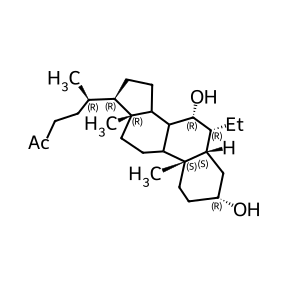 CC[C@H]1[C@@H](O)C2C3CC[C@H]([C@H](C)CCC(C)=O)[C@@]3(C)CCC2[C@@]2(C)CC[C@@H](O)C[C@@H]12